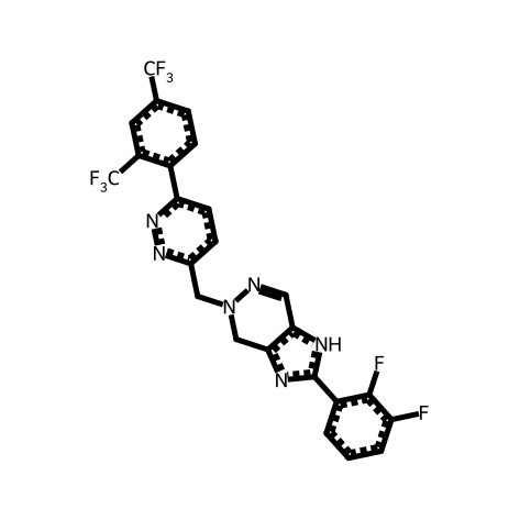 Fc1cccc(-c2nc3c([nH]2)C=NN(Cc2ccc(-c4ccc(C(F)(F)F)cc4C(F)(F)F)nn2)C3)c1F